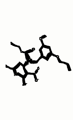 C=CCOc1cc(CN(C(=O)OCC)c2cc(Br)nc(Br)c2[N+](=O)[O-])cc(OC)c1